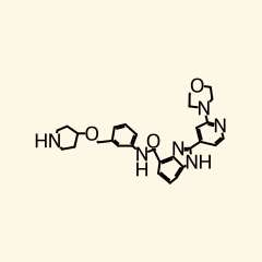 O=C(Nc1cccc(COC2CCNCC2)c1)c1cccc2[nH]c(-c3ccnc(N4CCOCC4)c3)nc12